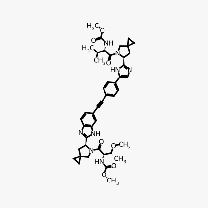 COC(=O)N[C@H](C(=O)N1CC2(CC2)C[C@H]1c1ncc(-c2ccc(C#Cc3ccc4nc([C@@H]5CC6(CC6)CN5C(=O)[C@@H](NC(=O)OC)[C@@H](C)OC)[nH]c4c3)cc2)[nH]1)C(C)C